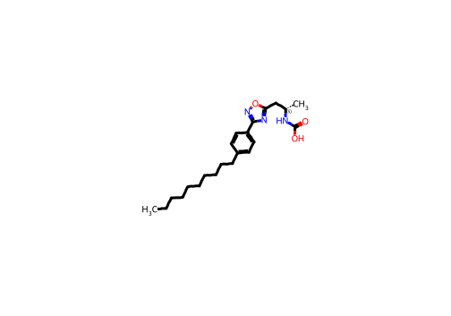 CCCCCCCCCCc1ccc(-c2noc(C[C@H](C)NC(=O)O)n2)cc1